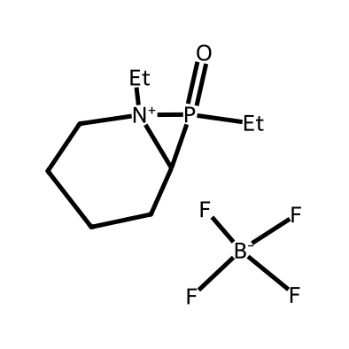 CC[N+]12CCCCC1P2(=O)CC.F[B-](F)(F)F